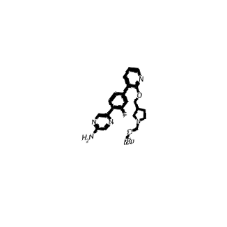 CC(C)(C)OCN1CCC(COc2ncccc2-c2ccc(-c3cnc(N)cn3)c(F)c2)C1